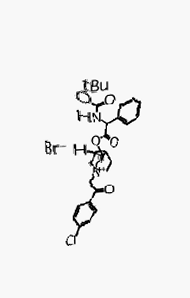 CC(C)(C)OC(=O)NC(C(=O)O[C@H]1C[N+]2(CC(=O)c3ccc(Cl)cc3)CCC1CC2)c1ccccc1.[Br-]